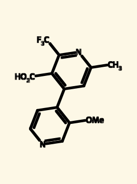 COc1cnccc1-c1cc(C)nc(C(F)(F)F)c1C(=O)O